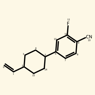 C=CC1CCC(c2ccc(C#N)c(F)c2)CC1